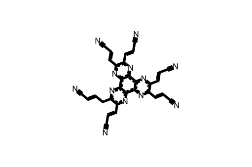 N#C/C=C/Cc1nc2c3nc(/C=C/C#N)c(/C=C/C#N)nc3c3nc(/C=C/C#N)c(/C=C/C#N)nc3c2nc1/C=C/C#N